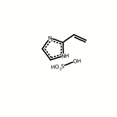 C=Cc1ncc[nH]1.O=S(=O)(O)O